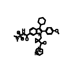 COc1ccc(-c2c(C3CCCCC3)c3ccc(C(=O)NS(=O)(=O)N(C)C)cc3n2CC2(C(=O)N3CCN4CCC3CC4)CC2)cc1